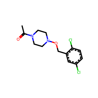 CC(=O)N1CCN(OCc2cc(Cl)ccc2Cl)CC1